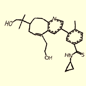 Cc1ccc(C(=S)NC2CC2)cc1-c1cnc2c(c1)/C(CCO)=C\CC(C(C)(C)CO)CC2